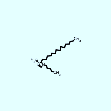 CCCCCCCCCCCCCCCC1N(C)C=CN1CCCCC